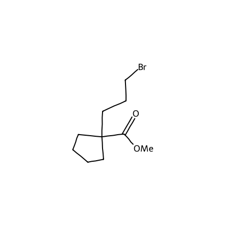 COC(=O)C1(CCCBr)CCCC1